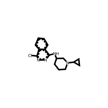 Clc1nnc(NC2CCCN(C3CC3)C2)c2ccccc12